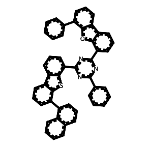 c1ccc(-c2nc(-c3cccc4c3oc3c(-c5ccccc5)cccc34)nc(-c3cccc4c3sc3c(-c5cccc6ccccc56)cccc34)n2)cc1